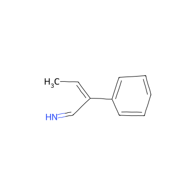 C/C=C(\C=N)c1ccccc1